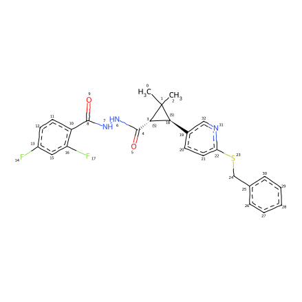 CC1(C)[C@@H](C(=O)NNC(=O)c2ccc(F)cc2F)[C@@H]1c1ccc(SCc2ccccc2)nc1